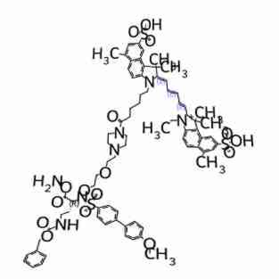 CC[N+]1=C(/C=C/C=C/C=C2\N(CCCCCC(=O)N3CCN(CCOCCON([C@H](CCNC(=O)OCc4ccccc4)C(=O)ON)S(=O)(=O)c4ccc(-c5ccc(OC)cc5)cc4)CC3)c3ccc4c(C)cc(S(=O)(=O)O)cc4c3C2(C)C)C(C)(C)c2c1ccc1c(C)cc(S(=O)(=O)O)cc21